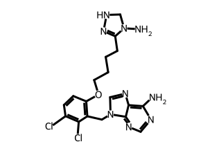 Nc1ncnc2c1ncn2Cc1c(OCCCCC2=NNCN2N)ccc(Cl)c1Cl